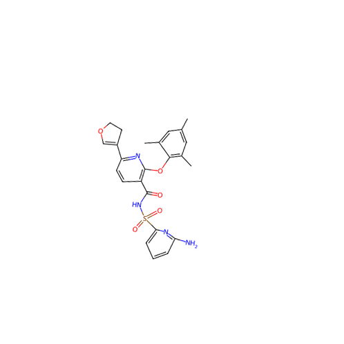 Cc1cc(C)c(Oc2nc(C3=COCC3)ccc2C(=O)NS(=O)(=O)c2cccc(N)n2)c(C)c1